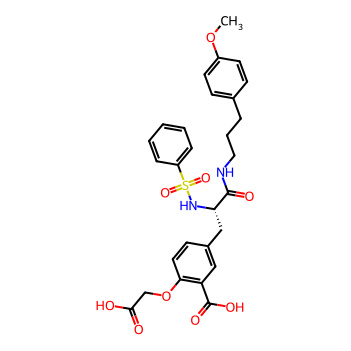 COc1ccc(CCCNC(=O)[C@H](Cc2ccc(OCC(=O)O)c(C(=O)O)c2)NS(=O)(=O)c2ccccc2)cc1